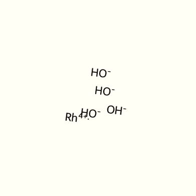 [OH-].[OH-].[OH-].[OH-].[Rh+4]